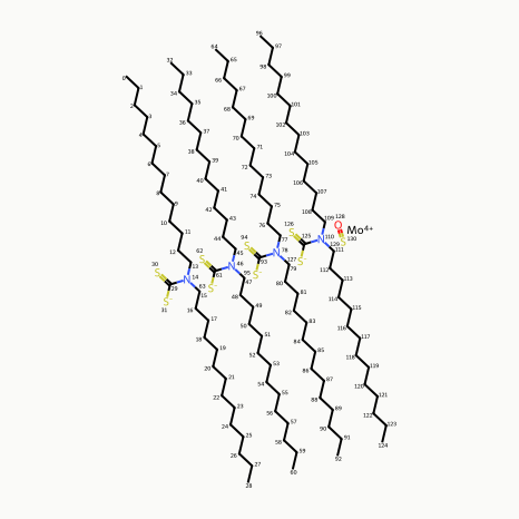 CCCCCCCCCCCCCCN(CCCCCCCCCCCCCC)C(=S)[S-].CCCCCCCCCCCCCCN(CCCCCCCCCCCCCC)C(=S)[S-].CCCCCCCCCCCCCCN(CCCCCCCCCCCCCC)C(=S)[S-].CCCCCCCCCCCCCCN(CCCCCCCCCCCCCC)C(=S)[S-].O=S.[Mo+4]